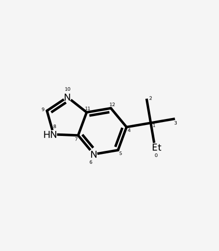 CCC(C)(C)c1cnc2[nH]cnc2c1